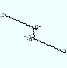 CCCCCCCCCCCCCCCCC/C=C(\CCCC/C(=C\CCCCCCCCCCCCCCCCC)C(=O)O)C(N)=O